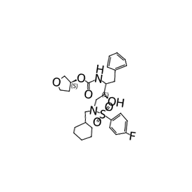 O=C(NC(Cc1ccccc1)[C@@H](O)CN(CC1CCCCC1)S(=O)(=O)c1ccc(F)cc1)O[C@H]1CCOC1